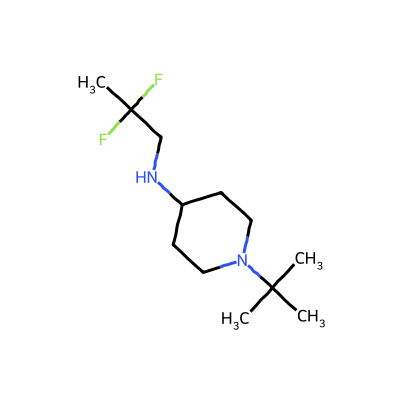 CC(F)(F)CNC1CCN(C(C)(C)C)CC1